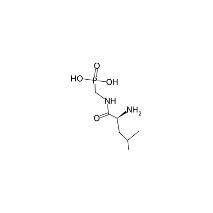 CC(C)C[C@H](N)C(=O)NCP(=O)(O)O